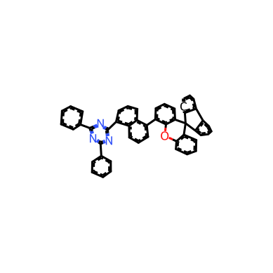 c1ccc(-c2nc(-c3ccccc3)nc(-c3cccc4c(-c5cccc6c5Oc5ccccc5C65c6ccccc6-c6ccccc65)cccc34)n2)cc1